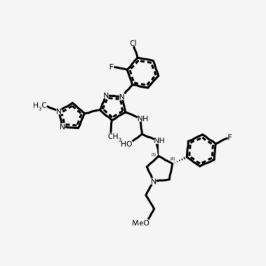 COCCN1C[C@@H](NC(O)Nc2c(C)c(-c3cnn(C)c3)nn2-c2cccc(Cl)c2F)[C@H](c2ccc(F)cc2)C1